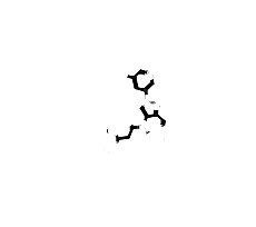 C=Cc1nn(-c2cncc(F)c2)cc1N(C)C(=O)CC(C)SC